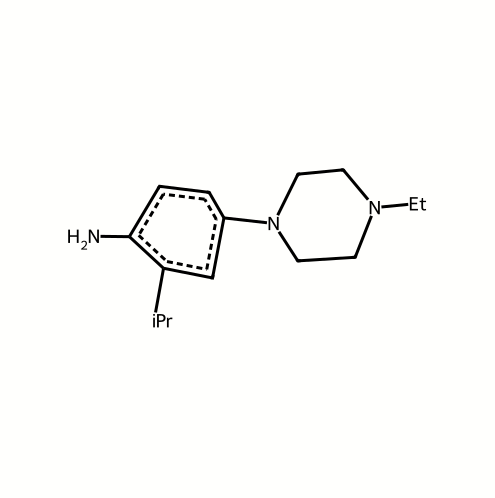 CCN1CCN(c2ccc(N)c(C(C)C)c2)CC1